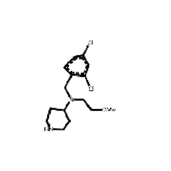 COCCN(Cc1ccc(Cl)cc1Cl)C1CCNCC1